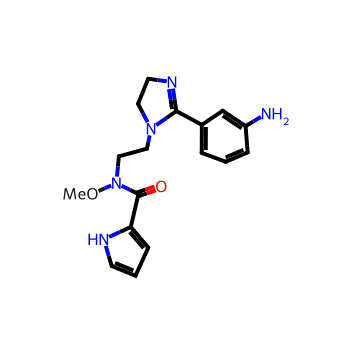 CON(CCN1CCN=C1c1cccc(N)c1)C(=O)c1ccc[nH]1